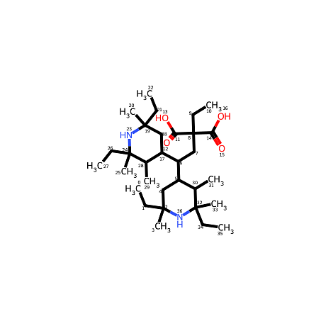 CCC1(C)CC(C(CC(CC)(C(=O)O)C(=O)O)C2CC(C)(CC)NC(C)(CC)C2C)C(C)C(C)(CC)N1